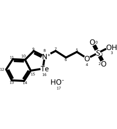 O=S(=O)(O)OCCC[n+]1cc2ccccc2[te]1.[OH-]